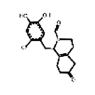 O=CN1CCC2=C(CCC(=O)C2)[C@H]1Cc1cc(O)c(O)cc1Cl